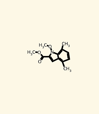 COC(=O)c1cc2c(C)ccc(C)c2n1OC